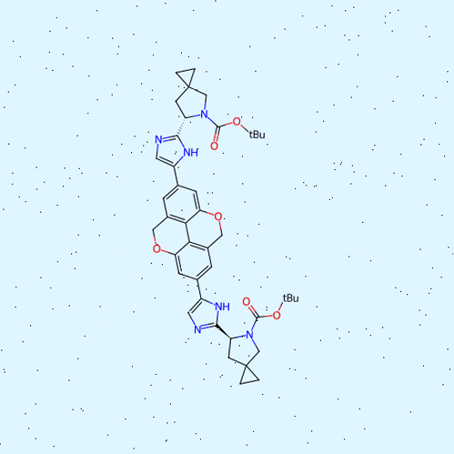 CC(C)(C)OC(=O)N1CC2(CC2)C[C@H]1c1ncc(-c2cc3c4c(c2)OCc2cc(-c5cnc([C@@H]6CC7(CC7)CN6C(=O)OC(C)(C)C)[nH]5)cc(c2-4)OC3)[nH]1